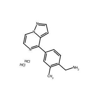 Cc1cc(-c2nccn3nccc23)ccc1CN.Cl.Cl